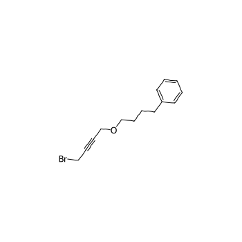 BrCC#CCOCCCCc1ccccc1